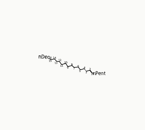 CCCCCC=CCCCCCCCCCCCCCCCCCCCCCCC